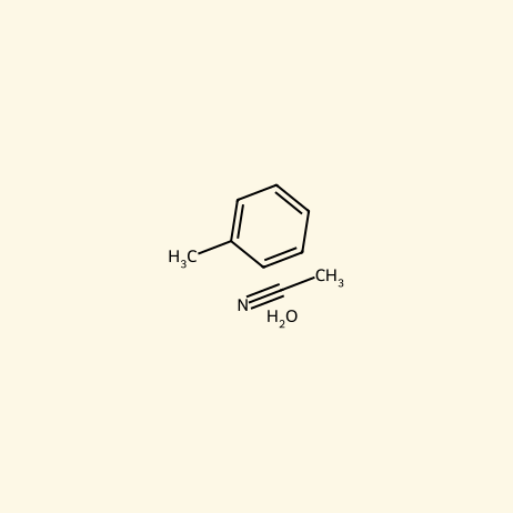 CC#N.Cc1ccccc1.O